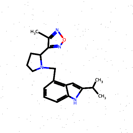 Cc1nonc1C1CCCN1Cc1cccc2[nH]c(C(C)C)cc12